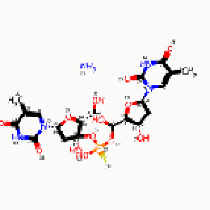 Cc1cn([C@H]2C[C@H](O)[C@@H](C(O)OP(O)(=S)O[C@@]3(O)C[C@H](n4cc(C)c(=O)[nH]c4=O)O[C@@H]3CO)O2)c(=O)[nH]c1=O.N